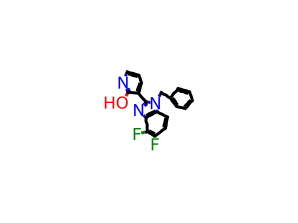 Oc1ncccc1-c1nc2c(F)c(F)ccc2n1Cc1ccccc1